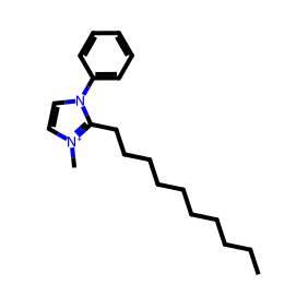 CCCCCCCCCCc1n(-c2ccccc2)cc[n+]1C